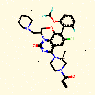 C=CC(=O)N1CCN(c2nc(=O)n3c4c(c(-c5c(F)cccc5OC(F)F)c(Cl)cc24)OCC3CN2CCCCC2)[C@@H](C)C1